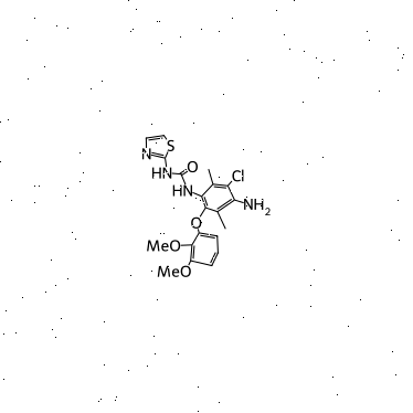 COc1cccc(Oc2c(C)c(N)c(Cl)c(C)c2NC(=O)Nc2nccs2)c1OC